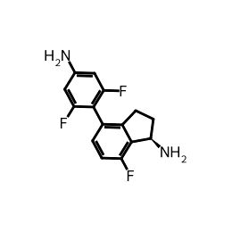 Nc1cc(F)c(-c2ccc(F)c3c2CC[C@H]3N)c(F)c1